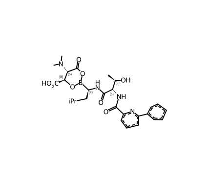 CC(C)C[C@H](NC(=O)[C@@H](NC(=O)c1cccc(-c2ccccc2)n1)[C@@H](C)O)B1OC(=O)[C@@H](N(C)C)[C@H](C(=O)O)O1